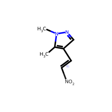 Cc1c(/C=C/[N+](=O)[O-])cnn1C